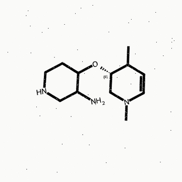 CC1C=CN(C)C[C@@H]1OC1CCNCC1N